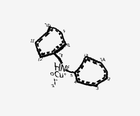 [Cu+].[I-].c1ccc(Nc2ccccc2)cc1